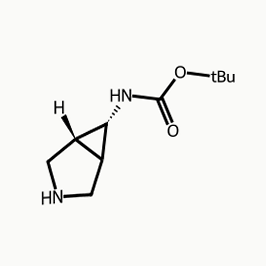 CC(C)(C)OC(=O)N[C@@H]1C2CNC[C@@H]21